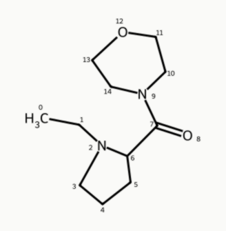 CCN1CCCC1C(=O)N1CCOCC1